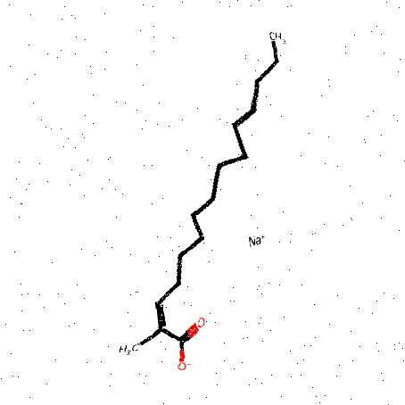 CCCCCCCCCCCCC=C(C)C(=O)[O-].[Na+]